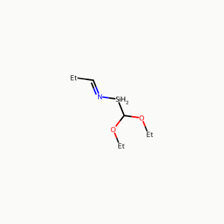 CCC=N[SiH2]C(OCC)OCC